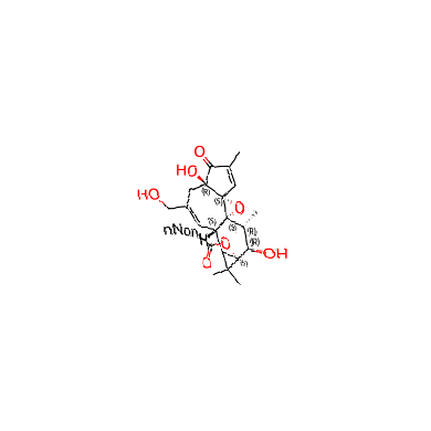 CCCCCCCCCC(=O)O[C@]12C([C@@H]3C=C(CO)C[C@]4(O)C(=O)C(C)=C[C@]45O[C@]35[C@H](C)[C@H]1O)C2(C)C